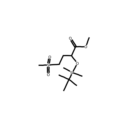 COC(=O)C(CCS(C)(=O)=O)O[Si](C)(C)C(C)(C)C